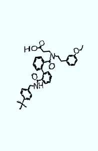 CCOc1cccc(CCN(CCC(=O)O)C(=O)c2ccccc2-c2ccccc2C(=O)NCc2ccc(C(C)(C)C)cc2)c1